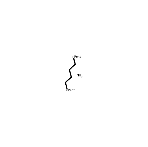 CCCCCCCCCCCCCC.N